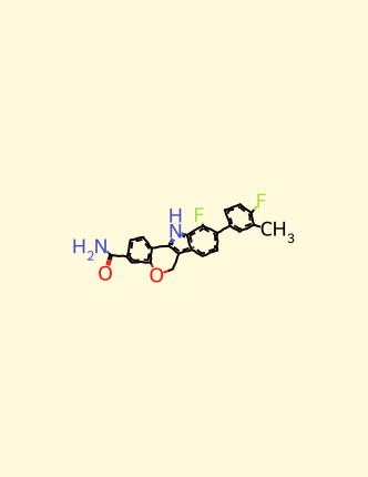 Cc1cc(-c2ccc3c4c([nH]c3c2F)-c2ccc(C(N)=O)cc2OC4)ccc1F